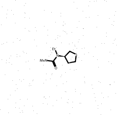 CCN(C(=O)NC)[C@@H]1CCSC1